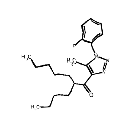 CCCCCC(CCCC)C(=O)c1nnn(-c2ccccc2F)c1C